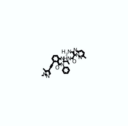 Cc1ccc2nc(N)c(C(=O)NC(C)c3nc4cccc(C#Cc5cnn(C)c5C)c4c(=O)n3-c3ccccc3)n2n1